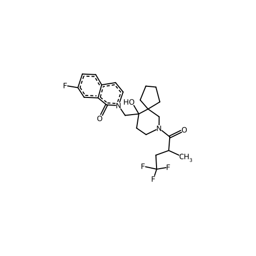 CC(CC(F)(F)F)C(=O)N1CCC(O)(Cn2ccc3ccc(F)cc3c2=O)C2(CCCC2)C1